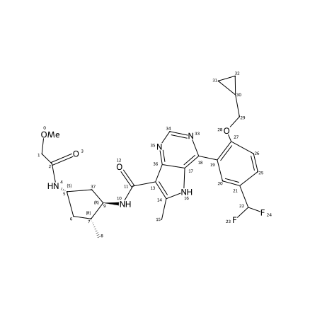 COCC(=O)N[C@H]1C[C@@H](C)[C@H](NC(=O)c2c(C)[nH]c3c(-c4cc(C(F)F)ccc4OCC4CC4)ncnc23)C1